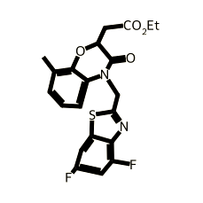 CCOC(=O)CC1Oc2c(C)cccc2N(Cc2nc3c(F)cc(F)cc3s2)C1=O